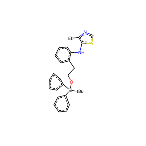 CCc1ncsc1Nc1ccccc1CCO[Si](c1ccccc1)(c1ccccc1)C(C)(C)C